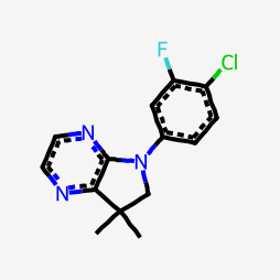 CC1(C)CN(c2ccc(Cl)c(F)c2)c2nccnc21